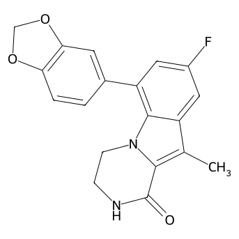 Cc1c2n(c3c(-c4ccc5c(c4)OCO5)cc(F)cc13)CCNC2=O